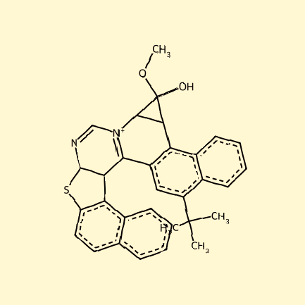 COC1(O)C2c3c(cc(C(C)(C)C)c4ccccc34)C3=[N+](C=NC4Sc5ccc6ccccc6c5C34)C21